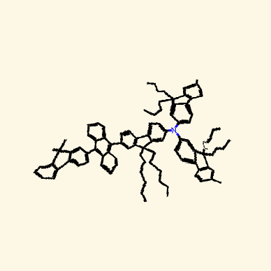 CCCCCCC1(CCCCCC)c2cc(-c3c4ccccc4c(-c4ccc5c(c4)C(C)(C)c4ccccc4-5)c4ccccc34)ccc2-c2ccc(N(c3ccc4c(c3)C(CCCC)(CCCC)c3cc(C)ccc3-4)c3ccc4c(c3)C(CCCC)(CCCC)c3cc(C)ccc3-4)cc21